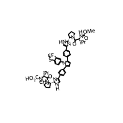 COC(=O)N[C@H](C(=O)N1CCC[C@H]1c1nc(-c2ccc(-c3ccc(-c4ccc(-c5c[nH]c([C@@H]6CCCN6C(=O)[C@H](C(C)C)N(C)C(=O)O)n5)cc4)n3-c3ccc(SC(F)(F)F)cc3)cc2)c[nH]1)C(C)C